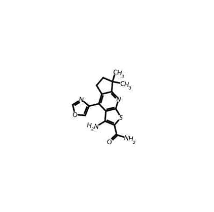 CC1(C)CCc2c1nc1sc(C(N)=O)c(N)c1c2-c1cocn1